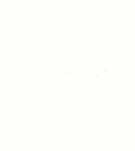 CCCCC(C)(NC(=O)Nc1nc(OC)cc(OC)n1)c1c(C(=O)OCC)cnn1C